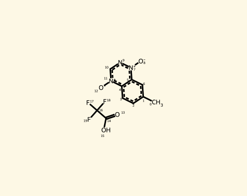 Cc1ccc2c(c1)[n+]([O-])nc[n+]2[O-].O=C(O)C(F)(F)F